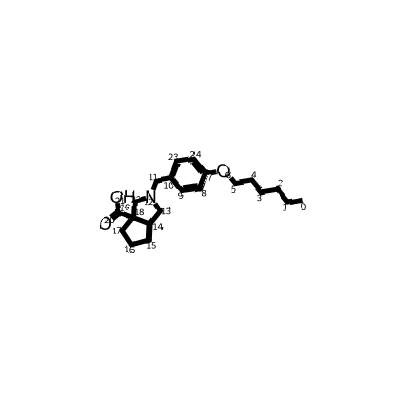 CCCCCCOc1ccc(CN2CC3CCCC3(C(=O)O)C2)cc1